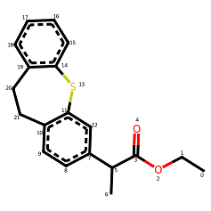 CCOC(=O)C(C)c1ccc2c(c1)Sc1ccccc1CC2